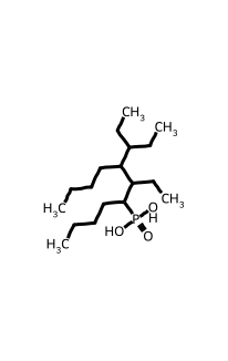 CCCCC(C(CC)CC)C(CC)C(CCCC)P(=O)(O)O